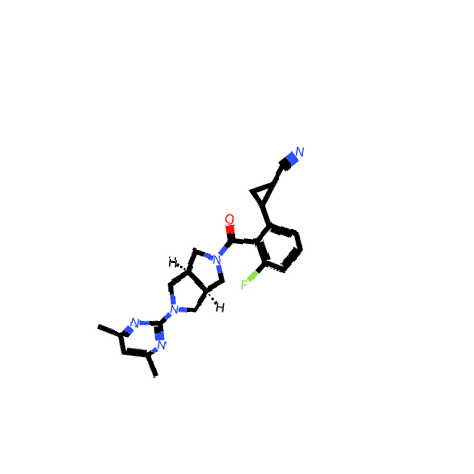 Cc1cc(C)nc(N2C[C@H]3CN(C(=O)c4c(F)cccc4C4CC4C#N)C[C@H]3C2)n1